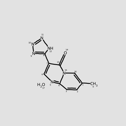 Cc1ccc2ncc(-c3nnn[nH]3)c(=O)n2c1.O